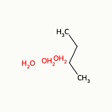 CCCC.O.O.O